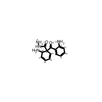 NNC(=O)C1(C(=O)c2ccccc2N)C=CC=CC1N